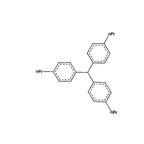 CCCc1ccc(C(c2ccc(CCC)cc2)c2ccc(CCC)cc2)cc1